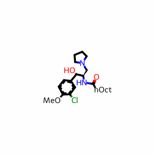 CCCCCCCCC(=O)N[C@H](CN1CCCC1)[C@H](O)c1ccc(OC)c(Cl)c1